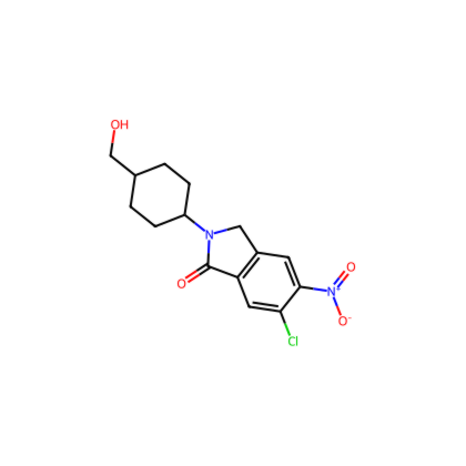 O=C1c2cc(Cl)c([N+](=O)[O-])cc2CN1C1CCC(CO)CC1